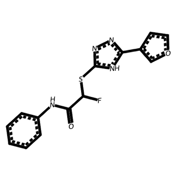 O=C(Nc1ccccc1)C(F)Sc1nnc(-c2ccoc2)[nH]1